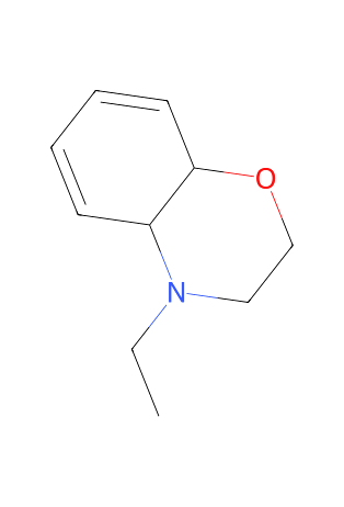 CCN1CCOC2C=CC=CC21